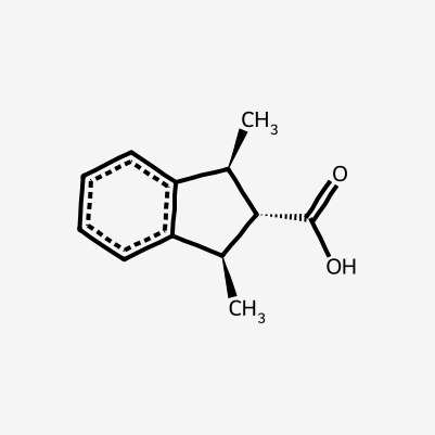 C[C@@H]1c2ccccc2[C@H](C)[C@H]1C(=O)O